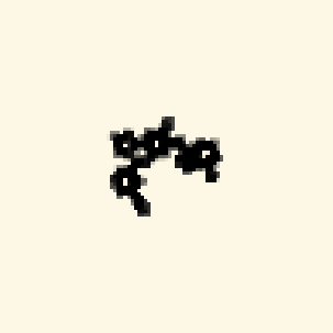 N#Cc1cncc(COc2cc(Cn3ncc4c(Br)cccc43)c(Cl)cc2C2OCCO2)c1